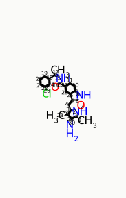 Cc1[nH]c(/C=C2\C(=O)Nc3ccc(C(=O)NC(C)c4cccc(Cl)c4)cc32)c(C)c1N